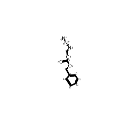 [N-]=[N+]=NCCC(=O)OCc1ccccc1